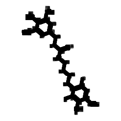 Cc1cc(C(C)(C)C)c(O)c(C)c1CSCCOC(=O)CCc1cc(C(C)(C)C)c(O)c(C(C)(C)C)c1